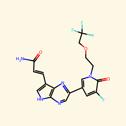 NC(=O)/C=C/c1c[nH]c2ncc(-c3cc(F)c(=O)n(CCOCC(F)(F)F)c3)nc12